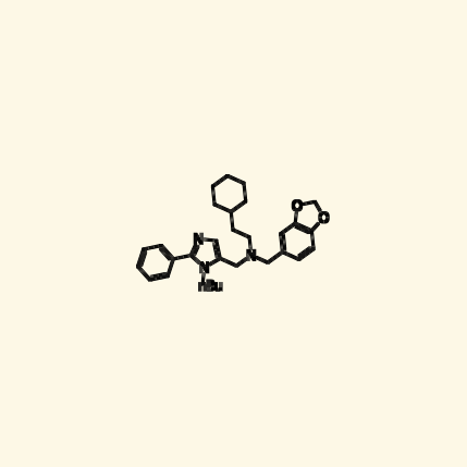 CCCCn1c(CN(CCC2CCCCC2)Cc2ccc3c(c2)OCO3)cnc1-c1ccccc1